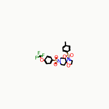 Cc1ccc(S(=O)(=O)N2CCOC23CCN(S(=O)(=O)c2ccc(OC(F)(F)F)cc2)CC3)cc1